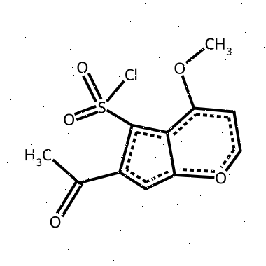 COc1ccoc2cc(C(C)=O)c(S(=O)(=O)Cl)c1-2